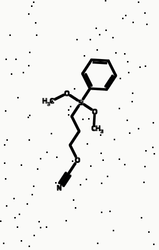 CO[Si](CCCOC#N)(OC)c1ccccc1